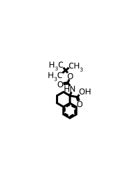 CC(C)(C)OC(=O)NC1(C(=O)O)CCCc2ccccc21